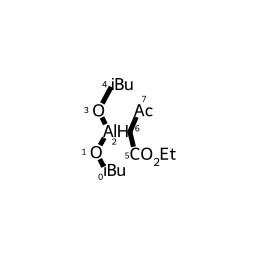 CCC(C)[O][AlH][O]C(C)CC.CCOC(=O)CC(C)=O